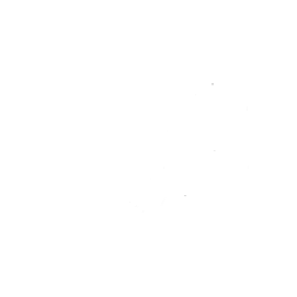 COC1C(C)=C(C(=O)O)C(C)=C(C)C1(C)C=CC(=O)c1ccc(OCCC2CCCCC2)cc1